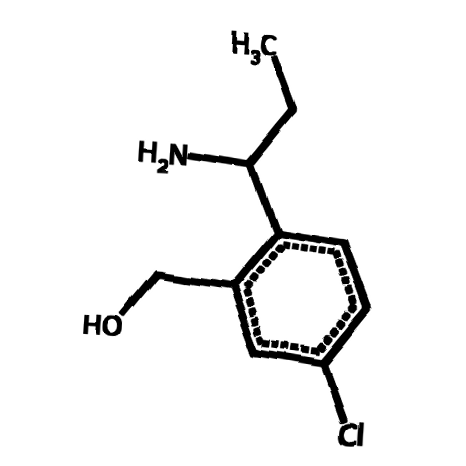 CCC(N)c1ccc(Cl)cc1CO